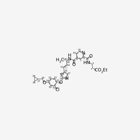 CCOC(=O)CCNC(=O)c1cc(C(=O)N[C@@H](C)/C=C/c2cnc(Oc3ccc(OCC4CC4)cc3Cl)s2)ccn1